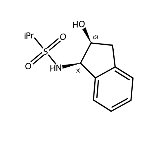 CC(C)S(=O)(=O)N[C@@H]1c2ccccc2C[C@@H]1O